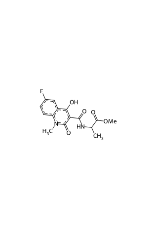 COC(=O)C(C)NC(=O)c1c(O)c2cc(F)ccc2n(C)c1=O